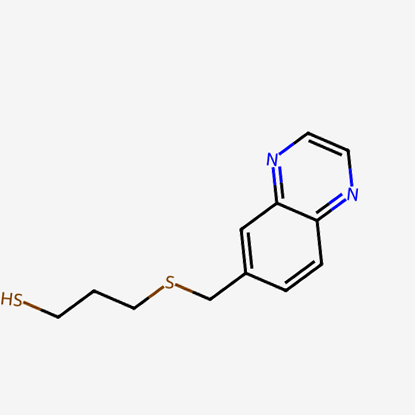 SCCCSCc1ccc2nccnc2c1